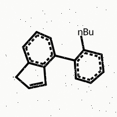 CCCCc1ccccc1-c1cccc2c1C=C[CH]2